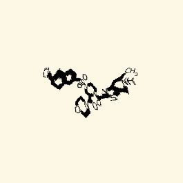 CC1Cc2nc(C(=O)N3CCN(S(=O)(=O)c4ccc5cc(Cl)ccc5c4)CC3C(=O)N3CCOCC3)sc2CN1